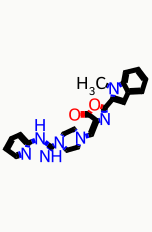 Cn1c(C2=NC(=CN3CCN(C(=N)Nc4ccccn4)CC3)C(=O)O2)cc2ccccc21